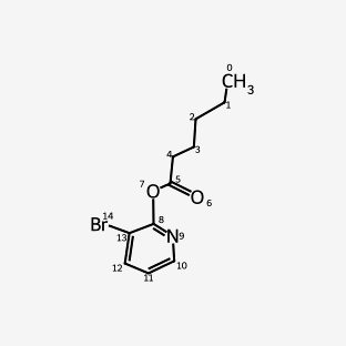 CCCCCC(=O)Oc1ncccc1Br